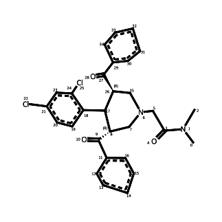 CN(C)C(=O)CN1C[C@H](C(=O)c2ccccc2)C(c2ccc(Cl)cc2Cl)[C@@H](C(=O)c2ccccc2)C1